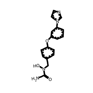 NC(=O)N(O)Cc1ccc(Oc2cccc(-n3ccnc3)c2)cc1